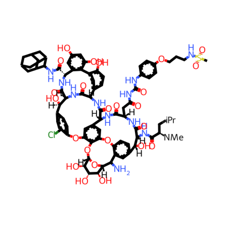 CN[C@H](CC(C)C)C(=O)N[C@H]1C(=O)N[C@@H](CC(=O)NC(=O)Nc2ccc(OCCCNS(C)(=O)=O)cc2)C(=O)N[C@H]2C(=O)N[C@H]3C(=O)N[C@H](C(=O)N[C@H](C(=O)NC4C5CC6CC(C5)CC4C6)c4cc(O)cc(O)c4-c4cc3ccc4O)[C@H](O)c3ccc(c(Cl)c3)Oc3cc2cc2c3O[C@@H]3O[C@H](C(N)c4cc(ccc4O2)[C@H]1O)[C@@H](O)[C@H](O)[C@H]3O